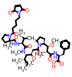 CC[C@H](C)[C@@H]([C@@H](CC(=O)N1CCC[C@H]1[C@H](OC)[C@@H](C)C(=O)N[C@@H](Cc1ccccc1)C(=O)O)OC)N(C)C(=O)[C@@H](NC(=O)[C@]1(C)CCCN1C(=O)CCCCN1C(=O)C=CC1=O)C(C)C